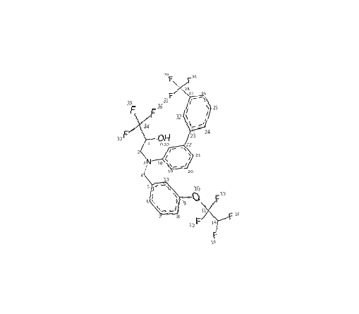 OC(CN(Cc1cccc(OC(F)(F)C(F)F)c1)c1cccc(-c2cccc(C(F)(F)F)c2)c1)C(F)(F)F